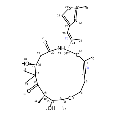 C/C1=C/CCC[C@H](C)[C@H](O)[C@@H](C)C(=O)C(C)(C)[C@@H](O)CC(=O)N[C@H](/C(C)=C/c2csc(C)n2)C1